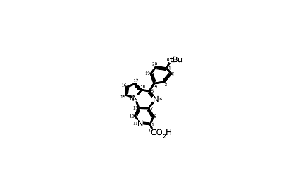 CC(C)(C)c1ccc(-c2nc3cc(C(=O)O)ncc3n3cccc23)cc1